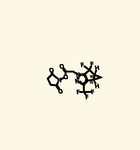 O=C(Cn1nc(C(F)(F)F)c2c1C(F)(F)[C@@H]1C[C@H]21)ON1C(=O)CCC1=O